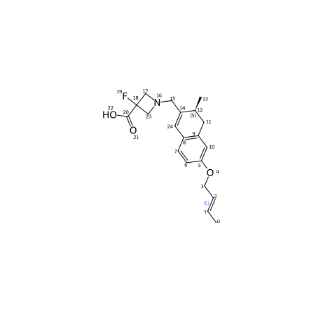 C/C=C/COc1ccc2c(c1)C[C@H](C)C(CN1CC(F)(C(=O)O)C1)=C2